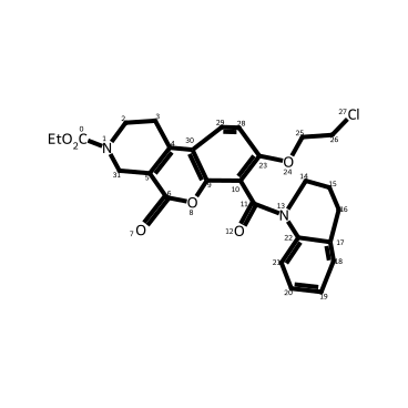 CCOC(=O)N1CCc2c(c(=O)oc3c(C(=O)N4CCCc5ccccc54)c(OCCCl)ccc23)C1